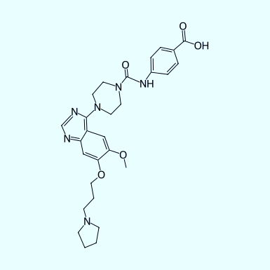 COc1cc2c(N3CCN(C(=O)Nc4ccc(C(=O)O)cc4)CC3)ncnc2cc1OCCCN1CCCC1